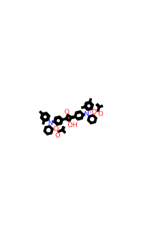 C=C(C)C(=O)OC1CCCCC1N(c1ccc(C2=C(O)C(=C3C=CC(=[N+](c4ccc(C)cc4C)C4CCCCC4OC(=O)C(=C)C)C=C3)C2=O)cc1)c1ccc(C)cc1C